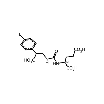 O=C(O)CC[C@H](NC(=O)NCC(C(=O)O)c1ccc(I)cc1)C(=O)O